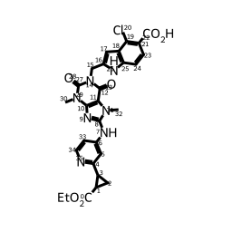 CCOC(=O)C1CC1c1cc(Nc2nc3c(c(=O)n(Cc4cc5c(Cl)c(C(=O)O)ccc5[nH]4)c(=O)n3C)n2C)ccn1